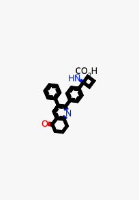 O=C(O)NC1(c2ccc(-c3nc4c(cc3-c3ccccc3)C(=O)CCC4)cc2)CCC1